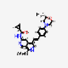 CNc1ncc(/C=C/c2ccc(N3CCO[C@@H](C)C3)cc2)c2cc(NC(=O)C3CC3)ncc12